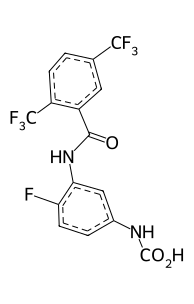 O=C(O)Nc1ccc(F)c(NC(=O)c2cc(C(F)(F)F)ccc2C(F)(F)F)c1